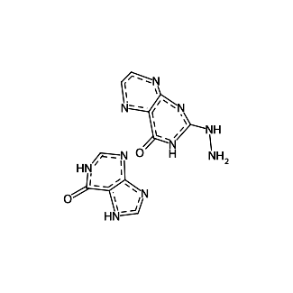 NNc1nc2nccnc2c(=O)[nH]1.O=c1[nH]cnc2nc[nH]c12